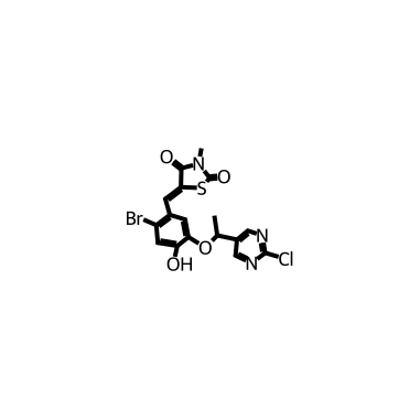 CC(Oc1cc(/C=C2\SC(=O)N(C)C2=O)c(Br)cc1O)c1cnc(Cl)nc1